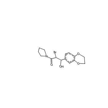 O=C(C(Br)C(O)c1ccc2c(c1)OCCO2)N1CCCC1